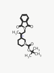 C/C(CN1C(=O)c2ccccc2C1=O)=C1\CCCN(C(=O)OC(C)(C)C)C1